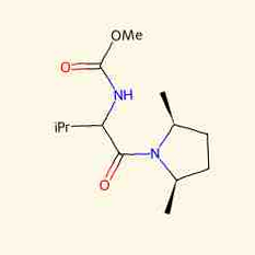 COC(=O)NC(C(=O)N1[C@H](C)CC[C@@H]1C)C(C)C